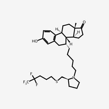 C[C@]12CC[C@@H]3c4ccc(O)cc4C[C@@H](CCCCCN4CCC[C@H]4CSCCCC(F)(F)C(F)(F)F)[C@H]3[C@@H]1CCC2=O